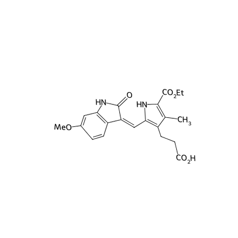 CCOC(=O)c1[nH]c(/C=C2\C(=O)Nc3cc(OC)ccc32)c(CCC(=O)O)c1C